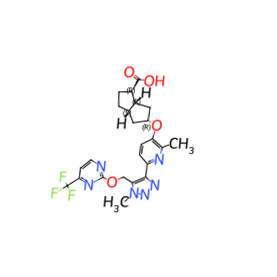 Cc1nc(-c2nnn(C)c2COc2nccc(C(F)(F)F)n2)ccc1O[C@@H]1C[C@@H]2CC[C@@H](C(=O)O)[C@@H]2C1